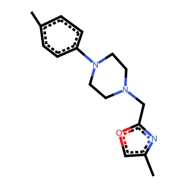 Cc1ccc(N2CCN(Cc3nc(C)co3)CC2)cc1